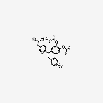 CCC(C=O)Cc1ccc(C(Cc2cc[n+]([O-])cc2)c2ccc(OC(F)F)c(OC(F)F)c2)nc1